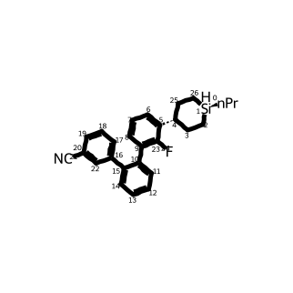 CCC[Si@H]1CC[C@H](c2cccc(-c3ccccc3-c3cccc(C#N)c3)c2F)CC1